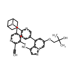 C#Cc1ncc(CN2C3CC2CN(c2ccc(-c4cc(OCC(C)(C)O)cn5ncc(C#N)c45)cn2)C3)cc1F